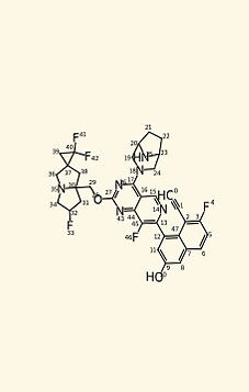 C#Cc1c(F)ccc2cc(O)cc(-c3ncc4c(N5CC6CCC(C5)N6)nc(OCC56CC(F)CN5CC5(C6)CC5(F)F)nc4c3F)c12